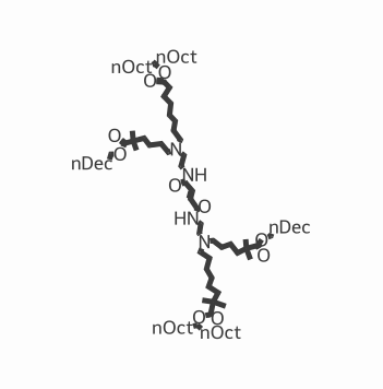 CCCCCCCCCCCOC(=O)C(C)(C)CCCCN(CCCCCCCC(=O)OC(CCCCCCCC)CCCCCCCC)CCNC(=O)/C=C/C(=O)NCCN(CCCCCCC(C)(C)C(=O)OC(CCCCCCCC)CCCCCCCC)CCCCC(C)(C)C(=O)OCCCCCCCCCCC